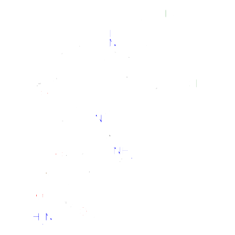 CS(=O)(=O)C(Cc1ccc(-c2cc(Nc3ccc(Cl)cc3CF)ccc2O)nc1N)C(N)=O